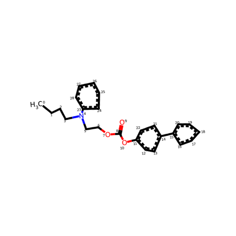 CCCCN(CCOC(=O)Oc1ccc(-c2ccccc2)cc1)c1ccccc1